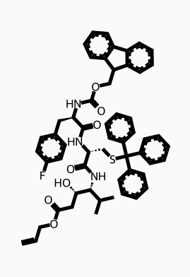 C=CCOC(=O)C[C@H](O)[C@H](NC(=O)[C@@H](CSC(c1ccccc1)(c1ccccc1)c1ccccc1)NC(=O)[C@@H](Cc1ccc(F)cc1)NC(=O)OCC1c2ccccc2-c2ccccc21)C(C)C